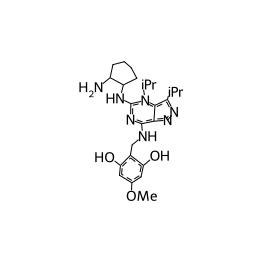 COc1cc(O)c(CNc2nc(NC3CCCCC3N)n(C(C)C)c3c(C(C)C)nnc2-3)c(O)c1